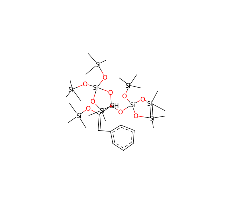 C[Si](C)(C)OC(=Cc1ccccc1)[SiH](O[Si](O[Si](C)(C)C)(O[Si](C)(C)C)O[Si](C)(C)C)O[Si](O[Si](C)(C)C)(O[Si](C)(C)C)O[Si](C)(C)C